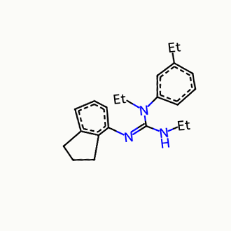 CCNC(=Nc1cccc2c1CCC2)N(CC)c1cccc(CC)c1